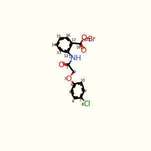 O=C(COc1ccc(Cl)cc1)Nc1ccccc1C(=O)OBr